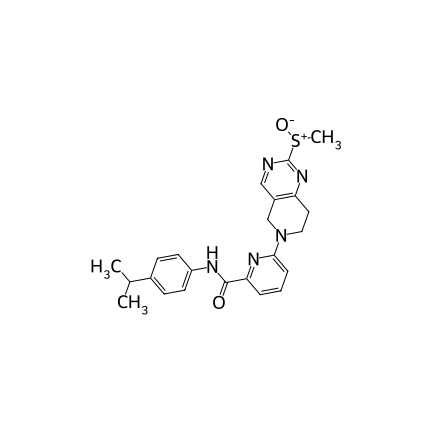 CC(C)c1ccc(NC(=O)c2cccc(N3CCc4nc([S+](C)[O-])ncc4C3)n2)cc1